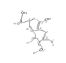 COc1cc2c(O)cc(C(=O)O)cc2c(C)c1OC